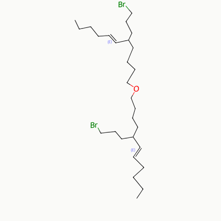 CCCC/C=C/C(CCCBr)CCCCOCCCCC(/C=C/CCCC)CCCBr